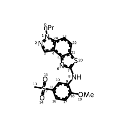 CCCn1ncc2c3nc(Nc4cc(S(C)(=O)=O)ccc4OC)sc3ccc21